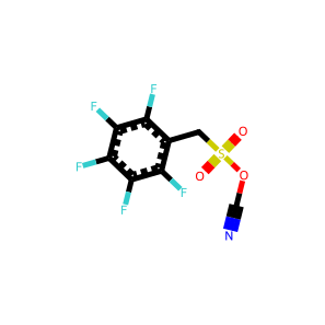 N#COS(=O)(=O)Cc1c(F)c(F)c(F)c(F)c1F